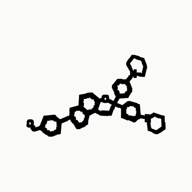 O=Cc1ccc(-c2ccc3c4c(ccc3c2)OC(c2ccc(N3CCCCC3)cc2)(c2ccc(N3CCCCC3)cc2)C=C4)cc1